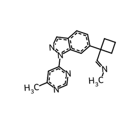 CN=CC1(c2ccc3cnn(-c4cc(C)ncn4)c3c2)CCC1